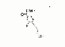 COC(=O)c1ccc(C#CCCO)c(F)c1